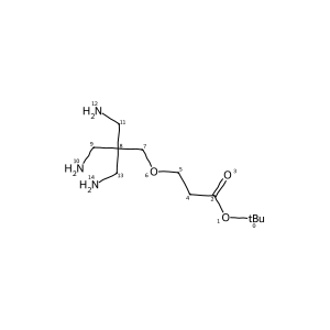 CC(C)(C)OC(=O)CCOCC(CN)(CN)CN